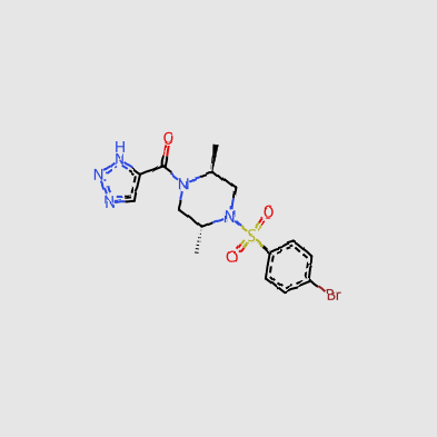 C[C@@H]1CN(C(=O)c2cnn[nH]2)[C@@H](C)CN1S(=O)(=O)c1ccc(Br)cc1